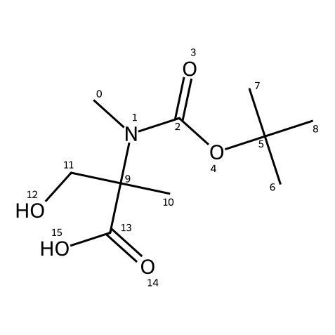 CN(C(=O)OC(C)(C)C)C(C)(CO)C(=O)O